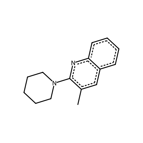 Cc1cc2ccccc2nc1N1CCCCC1